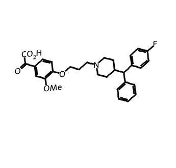 COc1cc(C(=O)C(=O)O)ccc1OCCCN1CCC(C(c2ccccc2)c2ccc(F)cc2)CC1